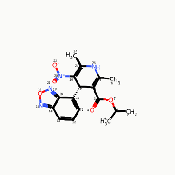 CC1=C(C(=O)OC(C)C)[C@H](c2cccc3nonc23)C([N+](=O)[O-])=C(C)N1